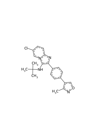 Cc1nocc1-c1ccc(-c2nc3ccc(Cl)cn3c2NC(C)(C)C)cc1